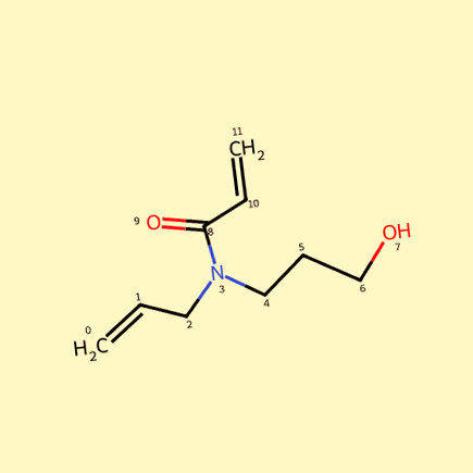 C=CCN(CCCO)C(=O)C=C